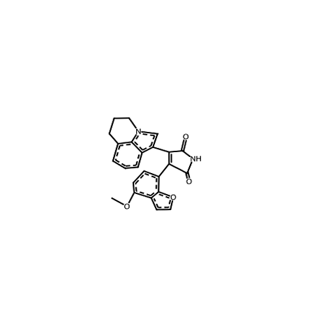 COc1ccc(C2=C(c3cn4c5c(cccc35)CCC4)C(=O)NC2=O)c2occc12